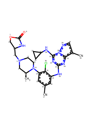 C[C@H]1CN(CC2COC(=O)N2)CCN1c1cc(C#N)cc(Nc2nc(NC3CC3)n3ncc(C#N)c3n2)c1Cl